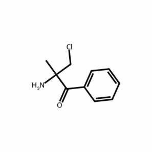 CC(N)(CCl)C(=O)c1ccccc1